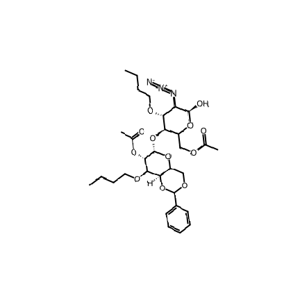 CCCCOC1[C@@H]2OC(c3ccccc3)OCC2O[C@@H](O[C@@H]2C(COC(C)=O)O[C@H](O)C(N=[N+]=[N-])[C@H]2OCCCC)[C@H]1OC(C)=O